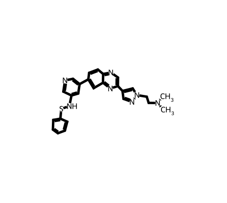 CN(C)CCn1cc(-c2cnc3ccc(-c4cncc(NSc5ccccc5)c4)cc3n2)cn1